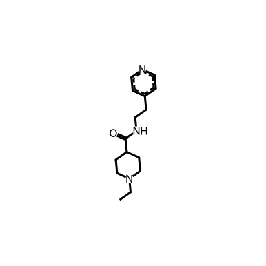 CCN1CCC(C(=O)NCCc2ccncc2)CC1